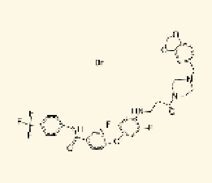 Br.O=C(Nc1ccc(C(F)(F)F)cc1)c1ccc(Oc2cc(F)c(NCCC(=O)N3CCN(Cc4ccc5c(c4)OCO5)CC3)cc2F)nc1